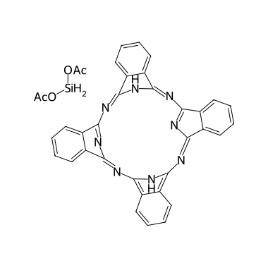 CC(=O)O[SiH2]OC(C)=O.c1ccc2c(c1)-c1nc-2nc2[nH]c(nc3nc(nc4[nH]c(n1)c1ccccc41)-c1ccccc1-3)c1ccccc21